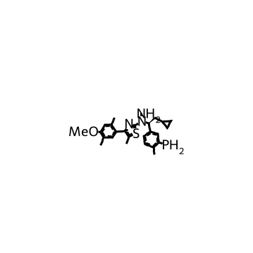 COc1cc(C)c(-c2nc(N(N)[C@@H](CC3CC3)c3ccc(C)c(P)c3)sc2C)cc1C